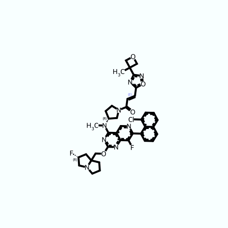 CN(c1nc(OCC23CCCN2C[C@H](F)C3)nc2c(F)c(-c3cccc4cccc(Cl)c34)ncc12)[C@@H]1CCN(C(=O)/C=C/c2nc(C3(C)COC3)no2)C1